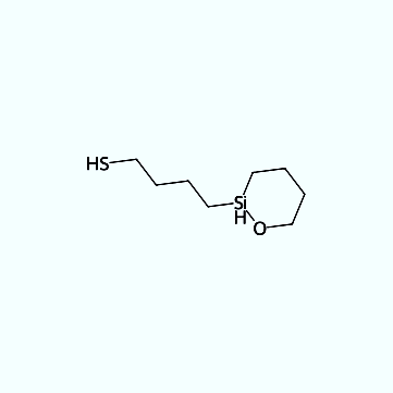 SCCCC[SiH]1CCCCO1